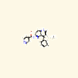 CCOC(=O)c1c(C)nc2ccc(NC(=O)c3ccncc3)cc2c1-c1ccccc1